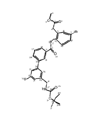 COC(=O)Cc1cc(Br)ccc1NC(=O)c1cccc(-c2cc(F)cc(CNC(=O)OC(C)(C)C)c2)c1